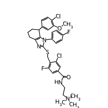 COc1cc(C2CCCc3nc(SCc4c(F)cc(C(=O)NCC[N+](C)(C)C)cc4Cl)n(-c4ccc(F)cc4)c32)ccc1Cl